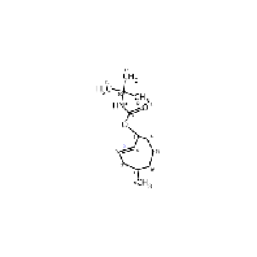 CC1C/C=C/C(OC(=O)NC(C)(C)C)CCC1